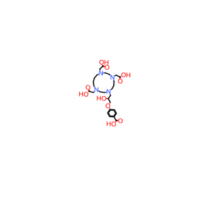 O=C(O)CN1CCCCN(CC(=O)O)CCN(CC(O)COc2ccc(C(=O)O)cc2)CCCN(CC(=O)O)CC1